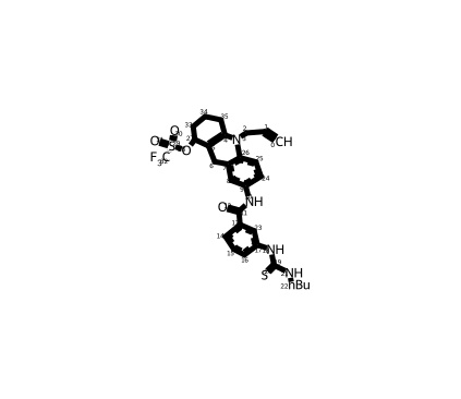 C#CCN1C2=C(Cc3cc(NC(=O)c4cccc(NC(=S)NCCCC)c4)ccc31)C(OS(=O)(=O)C(F)(F)F)CCC2